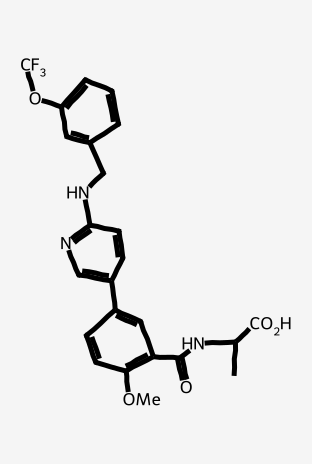 COc1ccc(-c2ccc(NCc3cccc(OC(F)(F)F)c3)nc2)cc1C(=O)NC(C)C(=O)O